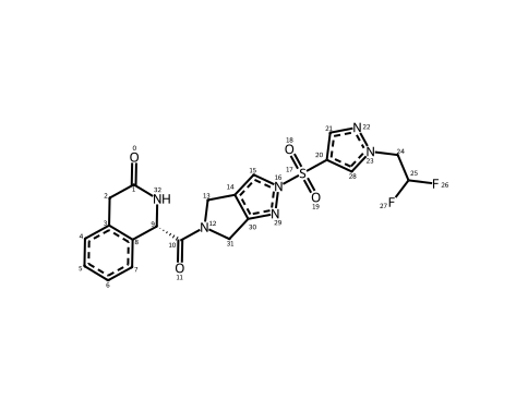 O=C1Cc2ccccc2[C@@H](C(=O)N2Cc3cn(S(=O)(=O)c4cnn(CC(F)F)c4)nc3C2)N1